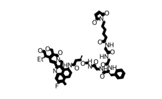 CC[C@H]1C(=O)OCc2c1cc1n(c2=O)Cc2c-1nc1cc(F)c(C)c3c1c2[C@@H](NC(=O)C[C@@H](C)OCNC(=O)CNC(=O)[C@H](Cc1ccccc1)NC(=O)CNC(=O)CNC(=O)CCCCCN1C(=O)C=CC1=O)CC3